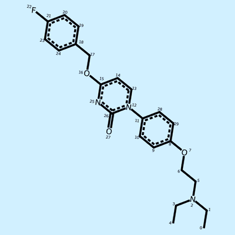 CCN(CC)CCOc1ccc(-n2ccc(OCc3ccc(F)cc3)nc2=O)cc1